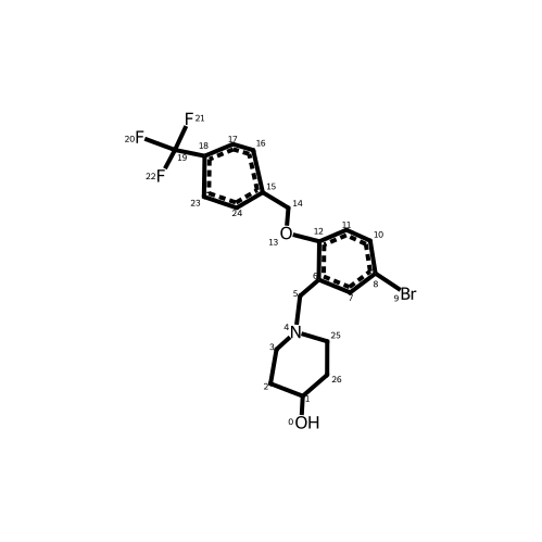 OC1CCN(Cc2cc(Br)ccc2OCc2ccc(C(F)(F)F)cc2)CC1